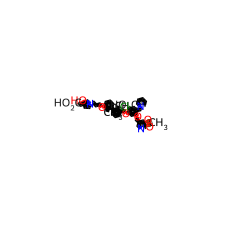 Cc1c(COc2cc(OCc3cncc(S(C)(=O)=O)c3)c(CN3CCCC[C@H]3C(=O)O)cc2Cl)cccc1-c1cccc(OCCCN2CCC(O)(CC(=O)O)C2)c1C